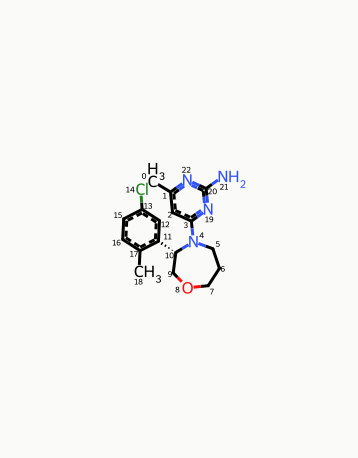 Cc1cc(N2CCCOC[C@@H]2c2cc(Cl)ccc2C)nc(N)n1